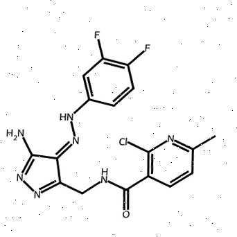 Cc1ccc(C(=O)NCC2=NN=C(N)/C2=N\Nc2ccc(F)c(F)c2)c(Cl)n1